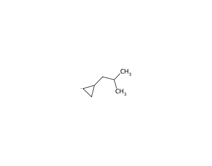 CC(C)CC1[CH]C1